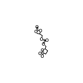 O=S(OCC1COS(=O)O1)OCC1CCS(=O)(=O)O1